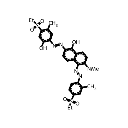 CCS(=O)(=O)c1ccc(/N=N/c2c(NC)ccc3c(O)c(/N=N/c4cc(C)c(S(=O)(=O)CC)cc4O)ccc23)c(C)c1